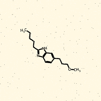 CCCCCc1nc2ccc(CCCOC)cc2[nH]1